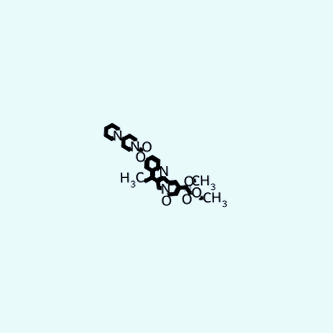 CCOC(=O)[C@@H](OC)c1cc2n(c(=O)c1)Cc1c-2nc2ccc(OC(=O)N3CCC(N4CCCCC4)CC3)cc2c1CC